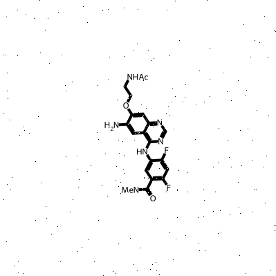 CNC(=O)c1cc(Nc2ncnc3cc(OCCNC(C)=O)c(N)cc23)c(F)cc1F